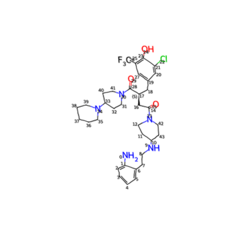 Nc1ccccc1CCNC1CCN(C(=O)C[C@H](Cc2cc(Cl)c(O)c(C(F)(F)F)c2)C(=O)N2CCC(N3CCCCC3)CC2)CC1